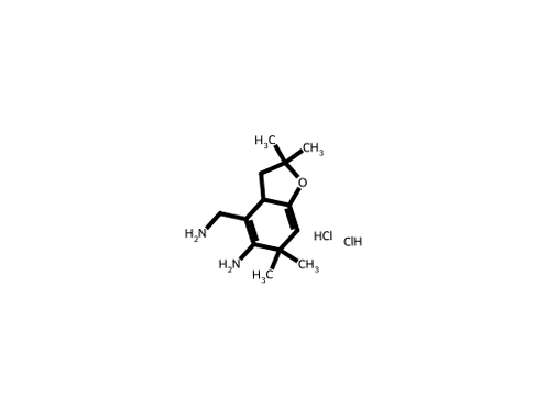 CC1(C)CC2C(=CC(C)(C)C(N)=C2CN)O1.Cl.Cl